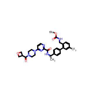 C[C@@H](NC(=O)c1nccc(N2CCN(C(=O)C3COC3)CC2)n1)c1ccc(-c2cc(C(F)(F)F)ccc2CNC(=O)OC(C)(C)C)cc1